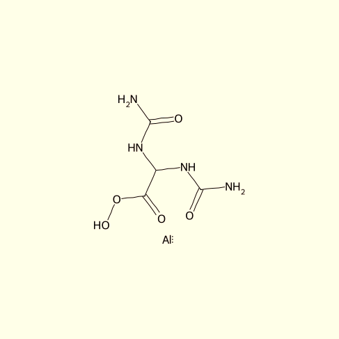 NC(=O)NC(NC(N)=O)C(=O)OO.[Al]